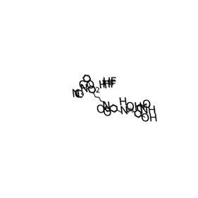 F.F.O=C(O)N(c1cc(CCCCn2c(=O)oc3cc(CNC[C@H](O)c4ccc(O)c5[nH]c(=O)ccc45)ccc32)ccc1-c1ccccc1)C1CN2CCC1CC2